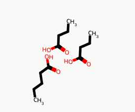 CCCC(=O)O.CCCC(=O)O.CCCCC(=O)O